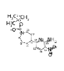 CC(C)(C)OC(=O)N1CCCC(c2ccc([N+](=O)[O-])c(N)n2)CC1